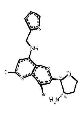 N[C@H]1CCO[C@@H]1c1sc2c(NCc3cccs3)cc(Cl)nc2c1Br